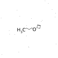 CCCCO[C@@H]1C=CC1